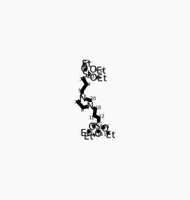 CCO[Si](CCCN1CCN(CCC[Si](OCC)(OCC)OCC)C1)(OCC)OCC